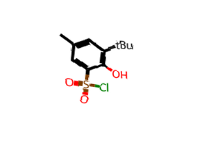 Cc1cc(C(C)(C)C)c(O)c(S(=O)(=O)Cl)c1